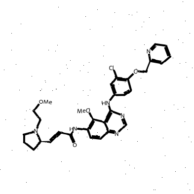 COCCN1CCC[C@@H]1/C=C/C(=O)Nc1ccc2ncnc(Nc3ccc(OCc4ccccn4)c(Cl)c3)c2c1OC